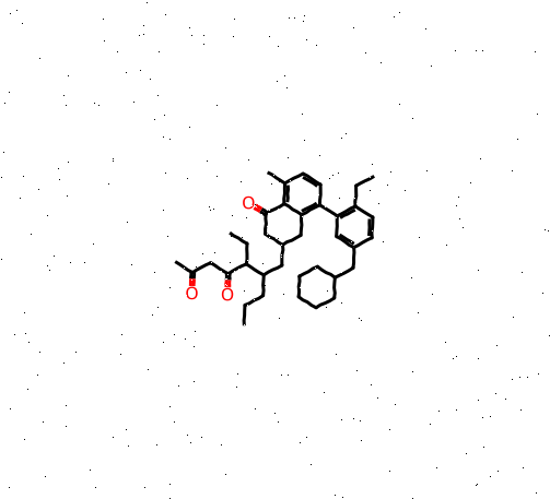 CCCC(CC1CC(=O)c2c(C)ccc(-c3cc(CC4CCCCC4)ccc3CC)c2C1)C(CC)C(=O)CC(C)=O